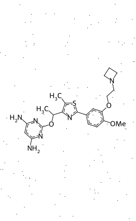 COc1ccc(-c2nc(C(C)Oc3nc(N)cc(N)n3)c(C)s2)cc1OCCN1CCC1